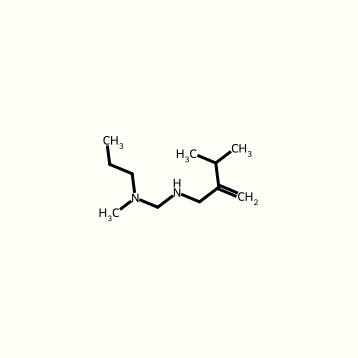 C=C(CNCN(C)CCC)C(C)C